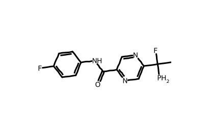 CC(F)(P)c1cnc(C(=O)Nc2ccc(F)cc2)cn1